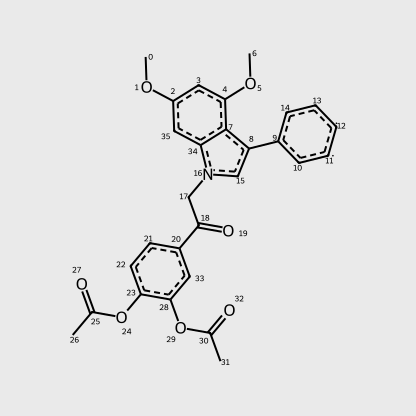 COc1cc(OC)c2c(-c3c[c][c]cc3)cn(CC(=O)c3ccc(OC(C)=O)c(OC(C)=O)c3)c2c1